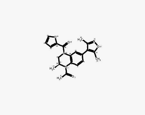 CC(=O)N1c2ccc(-c3c(C)noc3C)cc2N(C(=O)c2ccco2)C[C@@H]1C